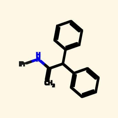 C=C(NC(C)C)C(c1ccccc1)c1ccccc1